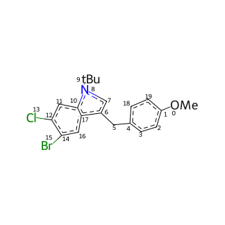 COc1ccc(Cc2cn(C(C)(C)C)c3cc(Cl)c(Br)cc23)cc1